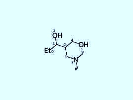 CCC(O)C(CO)CN(C)C